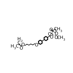 C=C(C)C(=O)OCCCCCCOc1ccc(-c2ccc(C3O[C@@H](C(=O)OC)[C@H](C(=O)OC)O3)cc2)cc1